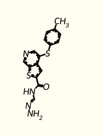 Cc1ccc(Sc2cncc3sc(C(=O)NC=NN)cc23)cc1